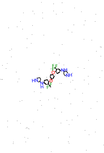 CC(F)(F)c1cc(NC2CCCNC2)ccc1Oc1ccc(Oc2ccc(NC3CCNCC3)cc2C(F)(F)F)cc1